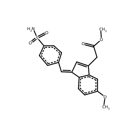 COC(=O)CC1=CC(=Cc2ccc(S(N)(=O)=O)cc2)c2ccc(OC)cc21